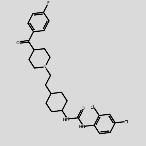 O=C(Nc1ccc(Cl)cc1Cl)NC1CCC(CCN2CCC(C(=O)c3ccc(F)cc3)CC2)CC1